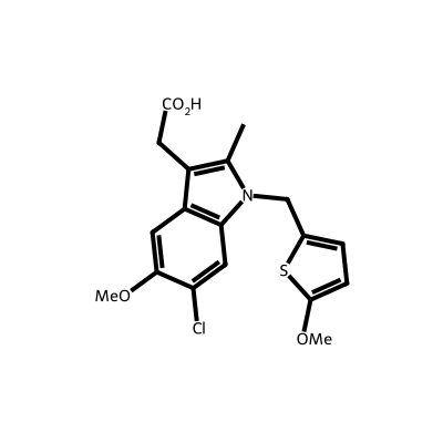 COc1ccc(Cn2c(C)c(CC(=O)O)c3cc(OC)c(Cl)cc32)s1